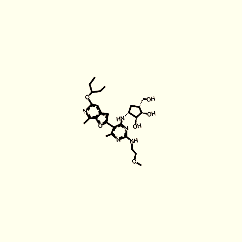 CCC(CC)Oc1cc2cc(-c3c(C)nc(NCCOC)nc3N[C@@H]3C[C@H](CO)[C@@H](O)[C@H]3O)oc2c(C)n1